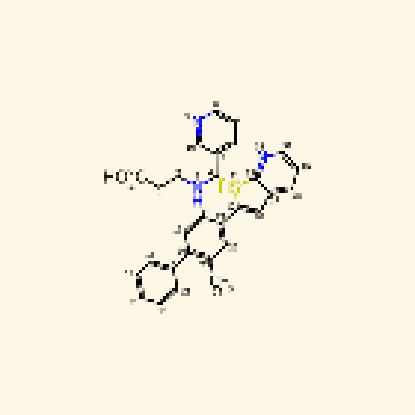 O=C(O)CCNC(c1cccnc1)[SH]1C(c2ccc(-c3ccccc3)c(C(F)(F)F)c2)=Cc2cccnc21